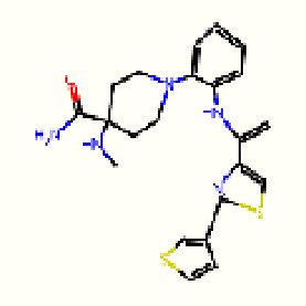 C=C(Nc1ccccc1N1CCC(NC)(C(N)=O)CC1)c1csc(-c2ccsc2)n1